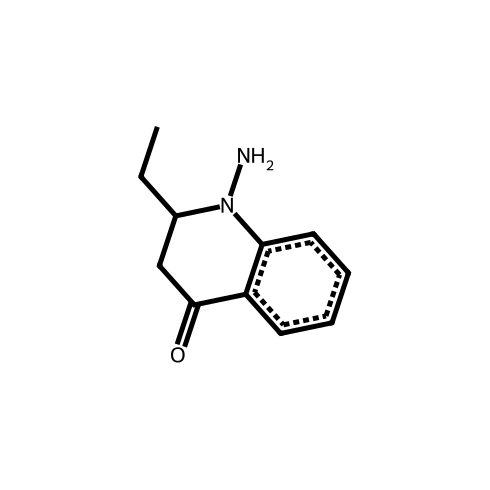 CCC1CC(=O)c2ccccc2N1N